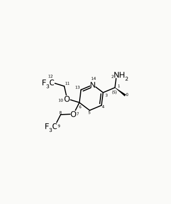 C[C@H](N)C1=CCC(OCC(F)(F)F)(OCC(F)(F)F)C=N1